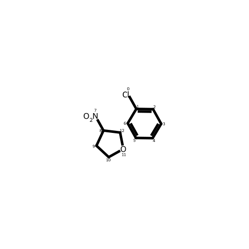 Clc1ccccc1.O=[N+]([O-])C1CCOC1